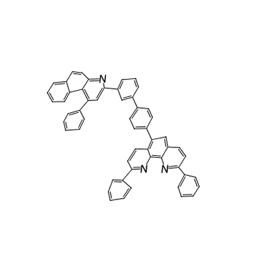 c1ccc(-c2ccc3cc(-c4ccc(-c5cccc(-c6cc(-c7ccccc7)c7c(ccc8ccccc87)n6)c5)cc4)c4ccc(-c5ccccc5)nc4c3n2)cc1